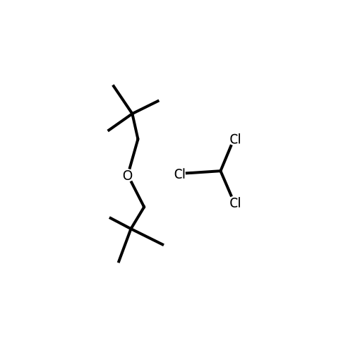 CC(C)(C)COCC(C)(C)C.ClC(Cl)Cl